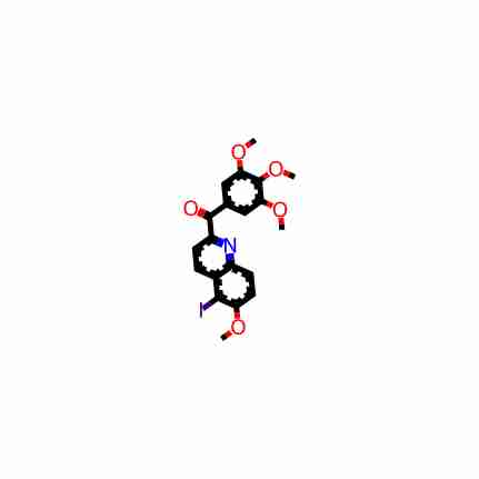 COc1cc(C(=O)c2ccc3c(I)c(OC)ccc3n2)cc(OC)c1OC